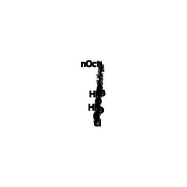 CCCCCCCC/C=C\CCCCCCCCCCCC(=O)NCCOCCNC(=O)CCOCCCl